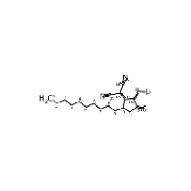 CCCCCCCCCCC1CC(=S)/C(=C\I)C1=C(C#N)C#N